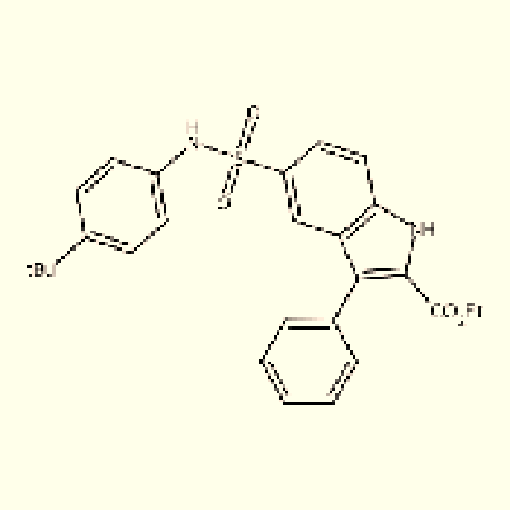 CCOC(=O)c1[nH]c2ccc(S(=O)(=O)Nc3ccc(C(C)(C)C)cc3)cc2c1-c1ccccc1